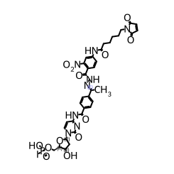 C/C(=N\NC(=O)c1ccc(NC(=O)CCCCCN2C(=O)C=CC2=O)cc1[N+](=O)[O-])c1ccc(C(=O)Nc2ccn([C@H]3C[C@@H](O)[C@@H](COP(=O)(O)I)O3)c(=O)n2)cc1